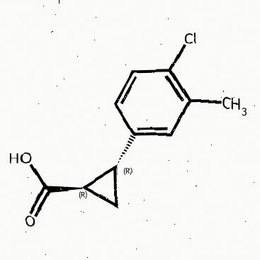 Cc1cc([C@@H]2C[C@H]2C(=O)O)ccc1Cl